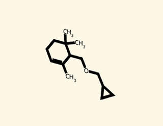 CC1=CCCC(C)(C)C1COCC1CC1